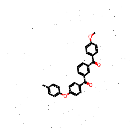 COc1ccc(C(=O)c2cccc(C(=O)c3ccc(Oc4ccc(C)cc4)cc3)c2)cc1